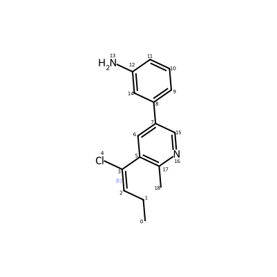 CC/C=C(/Cl)c1cc(-c2cccc(N)c2)cnc1C